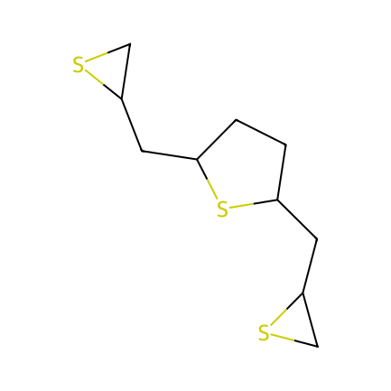 C1SC1CC1CCC(CC2CS2)S1